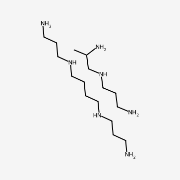 CC(N)CNCCCN.NCCCNCCCCNCCCN